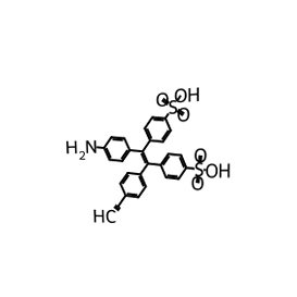 C#Cc1ccc(/C(=C(\c2ccc(N)cc2)c2ccc(S(=O)(=O)O)cc2)c2ccc(S(=O)(=O)O)cc2)cc1